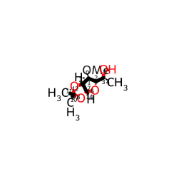 CO[C@@H]1[C@H]([C@@H](C)O)O[C@@H]2OC(C)(C)O[C@@H]21